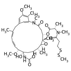 COc1cc2cc(c1Cl)N(C)C(=O)C[C@H](OC(=O)[C@H](C)N(C)C(=O)CCSSC)[C@]1(C)O[C@H]1[C@H](C)[C@@H]1C[C@@](O)(NC(=O)O1)[C@H](OC)/C=C\C=C(\C)C2